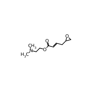 CN(C)CCOC(=O)C=CCC1CO1